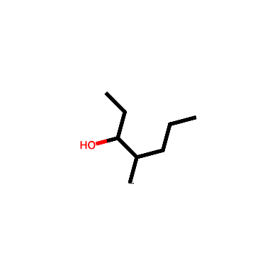 [CH2]C(CCC)C(O)CC